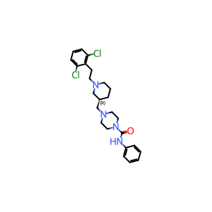 O=C(Nc1ccccc1)N1CCN(C[C@@H]2CCCN(CCc3c(Cl)cccc3Cl)C2)CC1